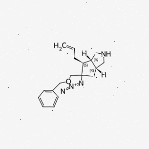 C=CC[C@H]1[C@@H]2CNC[C@@H]2CC1(COCc1ccccc1)N=[N+]=[N-]